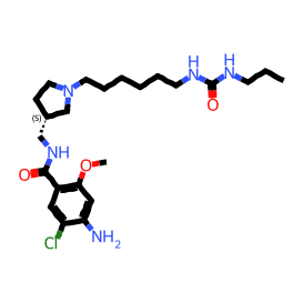 CCCNC(=O)NCCCCCCN1CC[C@@H](CNC(=O)c2cc(Cl)c(N)cc2OC)C1